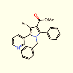 COC(=O)c1c(C(C)=O)c(-c2cccnc2)n(Cc2ccccc2)c1-c1ccccc1